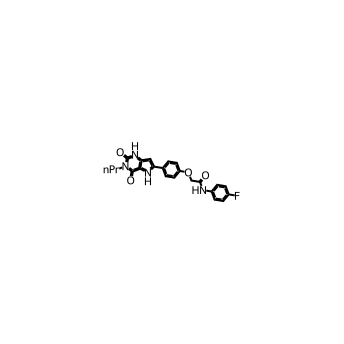 CCCn1c(=O)[nH]c2cc(-c3ccc(OCC(=O)Nc4ccc(F)cc4)cc3)[nH]c2c1=O